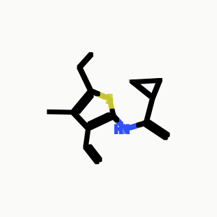 C=Cc1c(NC(=C)C2CC2)sc(CC)c1C